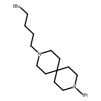 CC(C)N1CCC2(CCN(CCCCC(C)(C)C)CC2)CC1